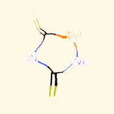 S=c1[nH][pH]c(=S)[nH]1